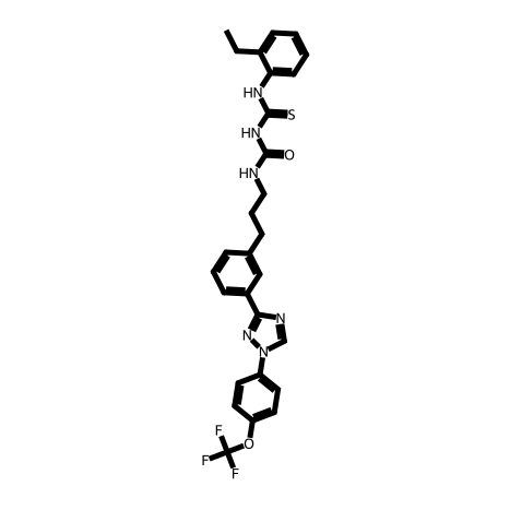 CCc1ccccc1NC(=S)NC(=O)NCCCc1cccc(-c2ncn(-c3ccc(OC(F)(F)F)cc3)n2)c1